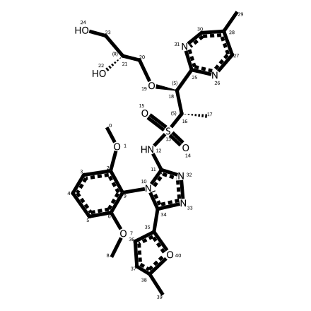 COc1cccc(OC)c1-n1c(NS(=O)(=O)[C@@H](C)[C@@H](OC[C@H](O)CO)c2ncc(C)cn2)nnc1-c1ccc(C)o1